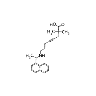 CC(NC/C=C/C#CCC(C)(C)C(=O)O)c1cccc2ccccc12